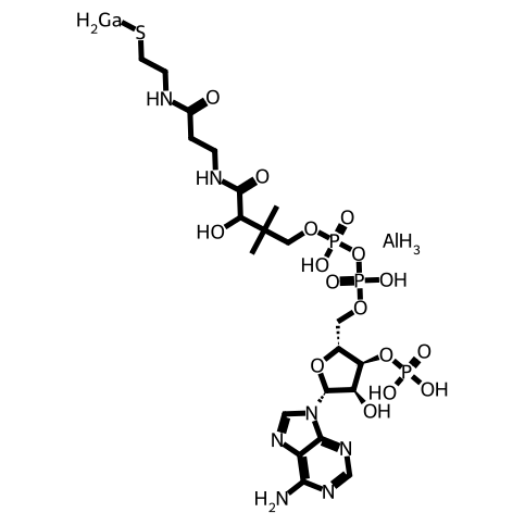 CC(C)(COP(=O)(O)OP(=O)(O)OC[C@H]1O[C@@H](n2cnc3c(N)ncnc32)[C@H](O)[C@@H]1OP(=O)(O)O)C(O)C(=O)NCCC(=O)NCC[S][GaH2].[AlH3]